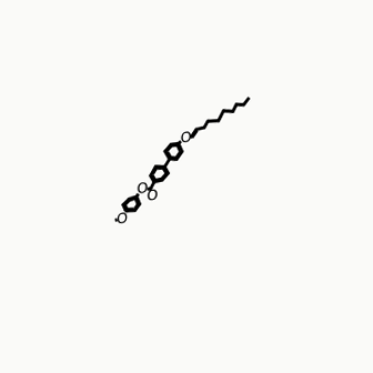 CCCCCCCCC=COc1ccc(-c2ccc(C(=O)Oc3ccc(OC)cc3)cc2)cc1